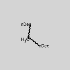 [CH2]N(CCCCCCCCCCCCCCCCCC)CCCCCCCCCCCCCCCCCC